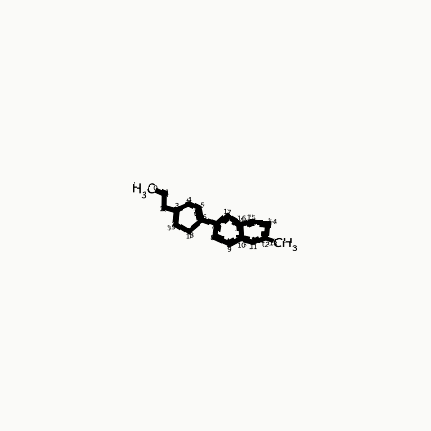 CCCC1CC=C(c2ccc3cc(C)ccc3c2)CC1